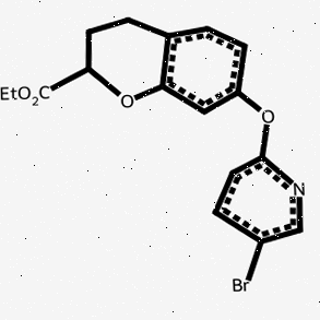 CCOC(=O)C1CCc2ccc(Oc3ccc(Br)cn3)cc2O1